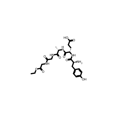 CCOC(=O)CNC(=O)CNC(=O)[C@H](C)NC(=O)[C@H](CCC(=O)O)NC(=O)[C@@H](N)Cc1ccc(O)cc1